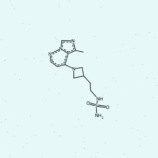 Cc1ncn2nccc(N3CC(CCNS(N)(=O)=O)C3)c12